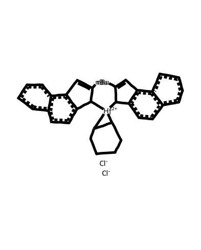 CCCCC1=Cc2c(ccc3ccccc23)[CH]1[Hf+2]1([CH]2C(CCCC)=Cc3c2ccc2ccccc32)[CH]2CCCC[CH]21.[Cl-].[Cl-]